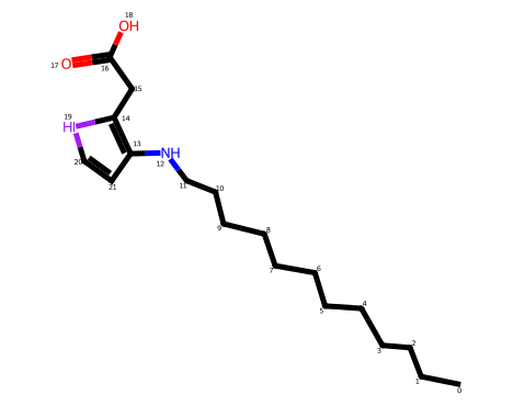 CCCCCCCCCCCCNC1=C(CC(=O)O)[IH]C=C1